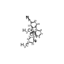 Cc1ccc(-c2cccc3c2[Si](C)(C)c2cc(C#N)ccc2-3)nc1